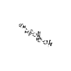 O=S(=O)(NCCCN1CCOCC1)c1ccc(Nc2nccc(-c3ccc(C(F)(F)F)cc3)n2)cc1